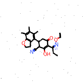 CCO/N=C(/CC)C1=C(O)C(C#N)C(c2c(C)c(C)c(C)c3c2CCO3)CC1=O